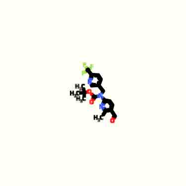 Cc1nc(N(Cc2ccc(C(F)(F)F)nc2)C(=O)OC(C)(C)C)ccc1C=O